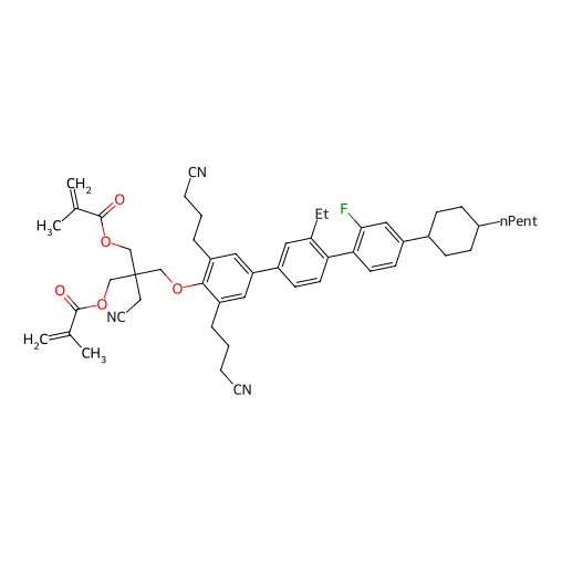 C=C(C)C(=O)OCC(CC#N)(COC(=O)C(=C)C)COc1c(CCCC#N)cc(-c2ccc(-c3ccc(C4CCC(CCCCC)CC4)cc3F)c(CC)c2)cc1CCCC#N